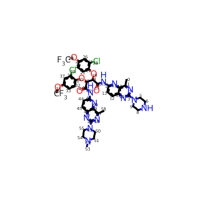 Cc1nc(N2CCNCC2)nc2ccc(NC(=O)C(Oc3ccc(OC(F)(F)F)cc3Cl)C(Oc3ccc(OC(F)(F)F)cc3Cl)C(=O)Nc3ccc4nc(N5CCN(C)CC5)nc(C)c4n3)nc12